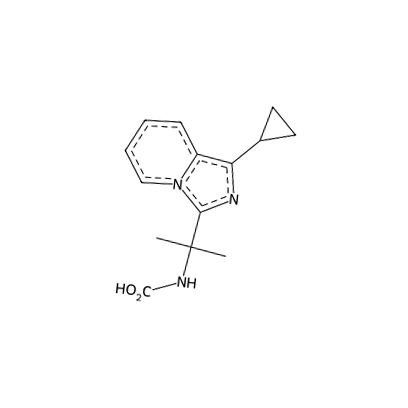 CC(C)(NC(=O)O)c1nc(C2CC2)c2ccccn12